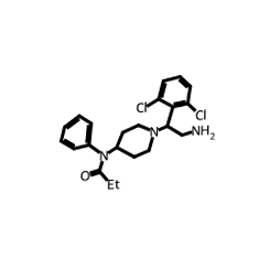 CCC(=O)N(c1ccccc1)C1CCN(C(CN)c2c(Cl)cccc2Cl)CC1